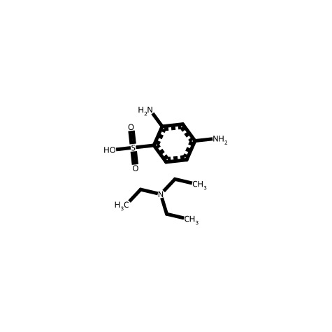 CCN(CC)CC.Nc1ccc(S(=O)(=O)O)c(N)c1